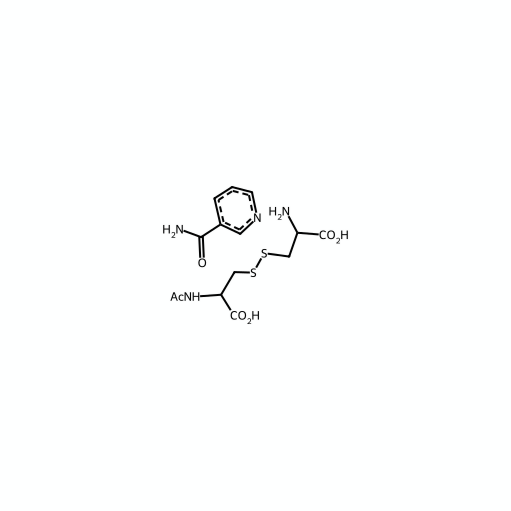 CC(=O)NC(CSSCC(N)C(=O)O)C(=O)O.NC(=O)c1cccnc1